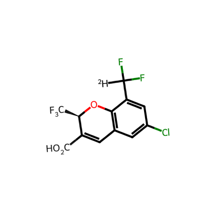 [2H]C(F)(F)c1cc(Cl)cc2c1O[C@H](C(F)(F)F)C(C(=O)O)=C2